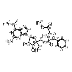 CCCN(C)c1nc(N)nc2c1ncn2[C@@H]1O[C@](CCl)(CO[P@@](=O)(N[C@@H](C)C(=O)OC(C)C)Oc2ccccc2)[C@@H](O)[C@H]1F